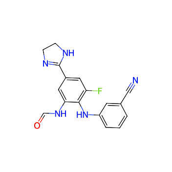 N#Cc1cccc(Nc2c(F)cc(C3=NCCN3)cc2NC=O)c1